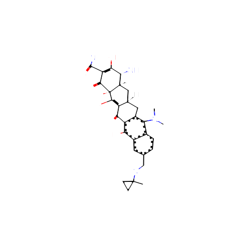 CN(C)c1c2c(c(O)c3cc(CNC4(C)CC4)ccc13)C(=O)C1=C(O)[C@]3(O)C(=O)C(C(N)=O)=C(O)[C@@H](N)[C@@H]3C[C@@H]1C2